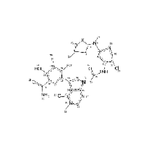 CC1CC(N(C)c2cc(NC(=O)Cn3cc(-c4cc(C(N)=O)c(O)c(F)c4F)c4c(=O)n(C)cnc43)c(Cl)cn2)CO1